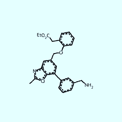 CCOC(=O)Cc1ccccc1OCc1cc(-c2cccc(CN)c2)c2oc(C)nc2c1